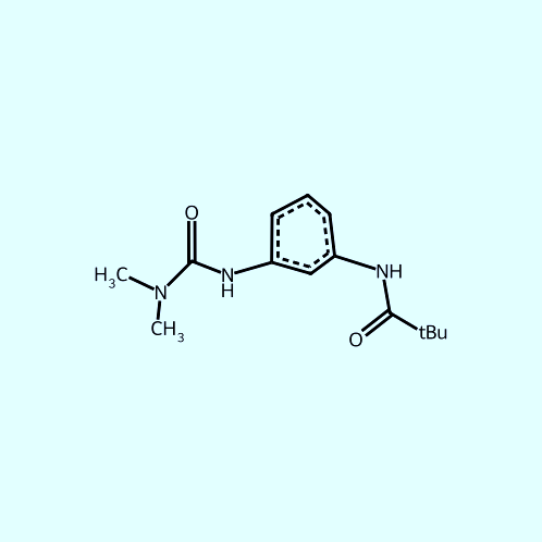 CN(C)C(=O)Nc1cccc(NC(=O)C(C)(C)C)c1